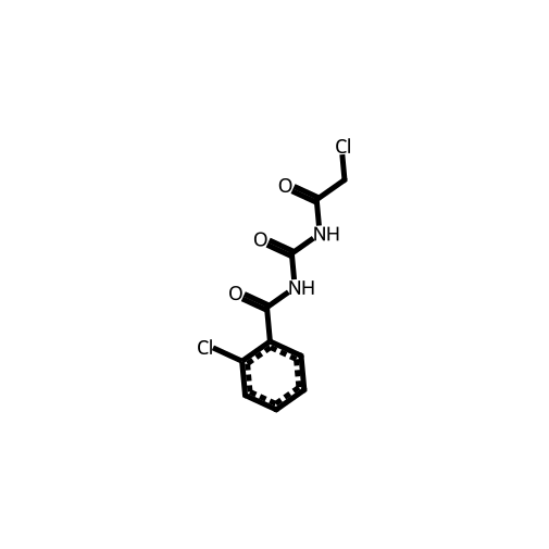 O=C(CCl)NC(=O)NC(=O)c1ccccc1Cl